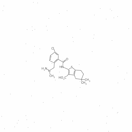 CN(N)Cc1ccc(Cl)cc1C(=O)Nc1sc2c(c1C(=O)O)CC(C)(C)CC2